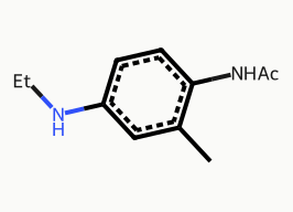 CCNc1ccc(NC(C)=O)c(C)c1